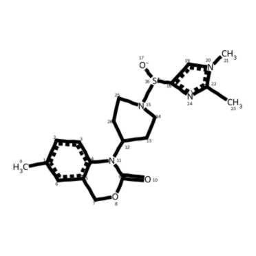 Cc1ccc2c(c1)COC(=O)N2C1CCN([S+]([O-])c2cn(C)c(C)n2)CC1